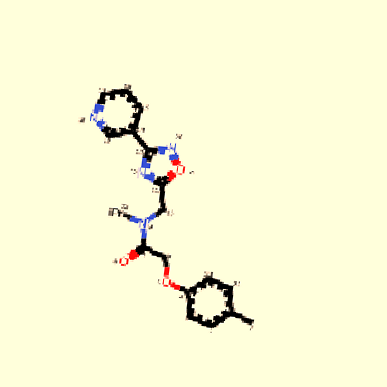 Cc1ccc(OCC(=O)N(Cc2nc(-c3cccnc3)no2)C(C)C)cc1